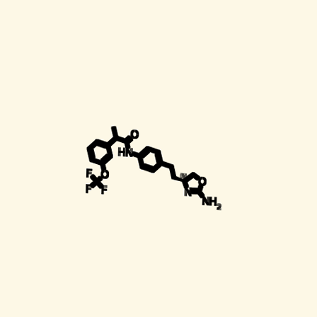 CC(C(=O)Nc1ccc(CC[C@H]2COC(N)=N2)cc1)c1cccc(OC(F)(F)F)c1